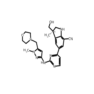 Cn1nc(Nc2nccc(-c3cc(C#N)c4c(c3)[C@@](C)(CO)CN4)n2)cc1CN1CCOCC1